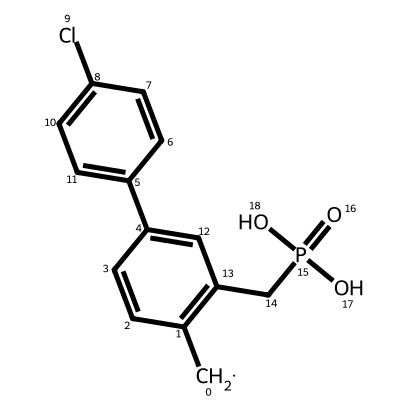 [CH2]c1ccc(-c2ccc(Cl)cc2)cc1CP(=O)(O)O